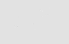 Cc1cc(-c2cc(OCc3ccccc3)cc([S+](C)[O-])c2)cn(C)c1=O